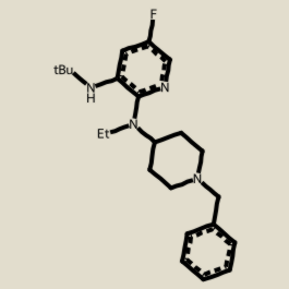 CCN(c1ncc(F)cc1NC(C)(C)C)C1CCN(Cc2ccccc2)CC1